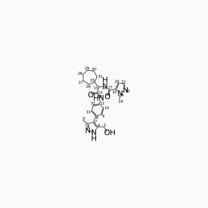 Cc1n[nH]c(CO)c1-c1ccc(NC(=O)C(NC(=O)c2ccnn2C)C2CCCCCC2)cc1